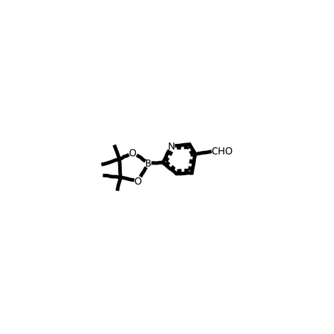 CC1(C)OB(c2ccc(C=O)cn2)OC1(C)C